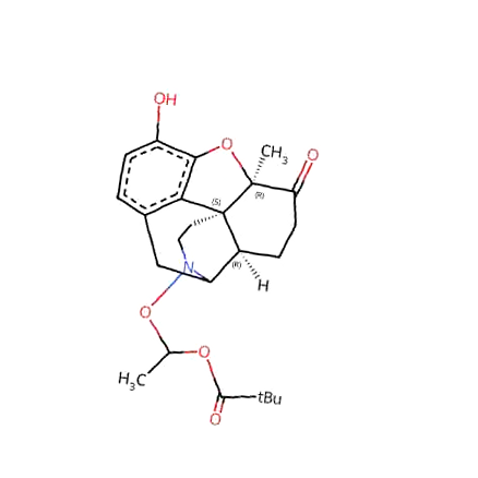 CC(OC(=O)C(C)(C)C)ON1CC[C@]23c4c5ccc(O)c4O[C@@]2(C)C(=O)CC[C@H]3C1C5